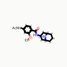 CCOc1cc(NC(C)=O)ccc1C(=O)NC1CC2CCCC(C1)N2